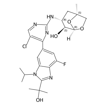 CC(C)n1c(C(C)(C)O)nc2c(F)cc(-c3nc(N[C@@H]4C[C@@]5(C)CO[C@H](O5)[C@H]4O)ncc3Cl)cc21